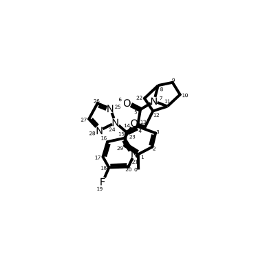 Cc1ccc(C(=O)N2C3CCC2C(COc2ccc(F)cn2)C3)c(-n2nccn2)c1